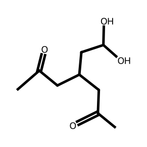 CC(=O)CC(CC(C)=O)CC(O)O